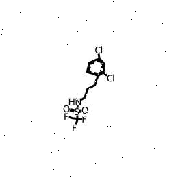 O=S(=O)(NCCCc1ccc(Cl)cc1Cl)C(F)(F)F